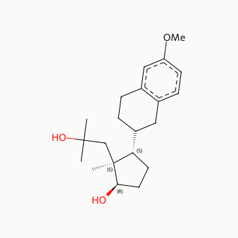 COc1ccc2c(c1)CCC([C@@H]1CC[C@@H](O)[C@@]1(C)CC(C)(C)O)C2